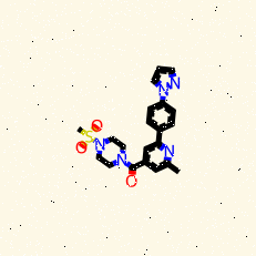 Cc1cc(C(=O)N2CCN(S(C)(=O)=O)CC2)cc(-c2ccc(-n3cccn3)cc2)n1